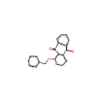 O=C1c2ccccc2C(=O)c2c(OCc3ccccc3)cccc21